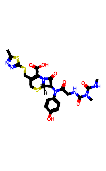 CNC(=O)N(C)C(=O)NCC(=O)N(c1ccc(O)cc1)C1C(=O)N2C(C(=O)O)=C(CSc3nnc(C)s3)CS[C@@H]12